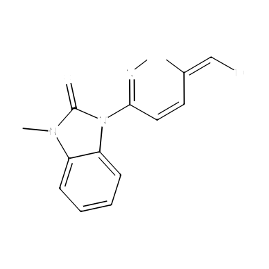 CC\C=C(C)/C=C\C(=N/C)n1c(=O)n(C)c2ccccc21